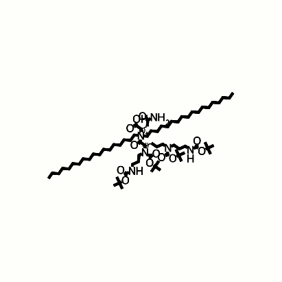 CCCCCCCCCCCCCCCCCC[N+](CCCCCCCCCCCCCCCCCC)(C(=O)[C@H](CCCN(CCCNC(=O)OC(C)(C)C)C(=O)OC(C)(C)C)N(CCCNC(=O)OC(C)(C)C)C(=O)OC(C)(C)C)[C@@H](CC(N)=O)C(=O)O